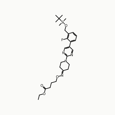 CCOC(=O)CCCON=C1CCN(c2ncc(-c3cccc(CO[Si](C)(C)C(C)(C)C)c3F)cn2)CC1